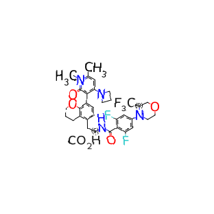 Cc1cc(N2CCC2)c(-c2ccc(C[C@H](NC(=O)c3c(F)cc(N4CCOC[C@@H]4C(F)(F)F)cc3F)C(=O)O)c3c2OCCC3)c(=O)n1C